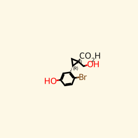 O=C(O)[C@]1(CO)C[C@H]1c1cc(O)ccc1Br